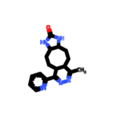 CC1=NN=C(c2ccccn2)C2CCC3NC(=O)NC3CCC12